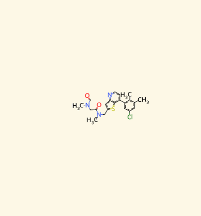 Cc1cc(Cl)cc(-c2ccnc3cc(CN(C)C(=O)CN(C)C=O)sc23)c1C